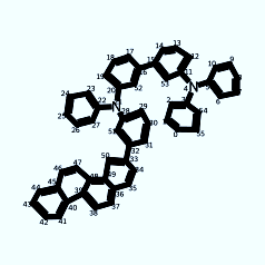 c1ccc(N(c2ccccc2)c2cccc(-c3cccc(N(c4ccccc4)c4cccc(-c5ccc6ccc7c8ccccc8ccc7c6c5)c4)c3)c2)cc1